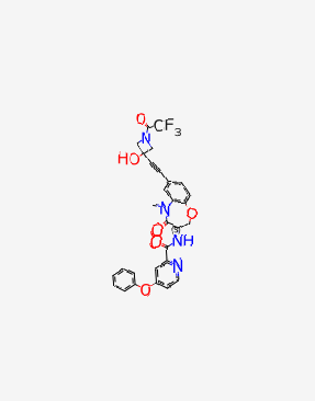 CN1C(=O)[C@@H](NC(=O)c2cc(Oc3ccccc3)ccn2)COc2ccc(C#CC3(O)CN(C(=O)C(F)(F)F)C3)cc21